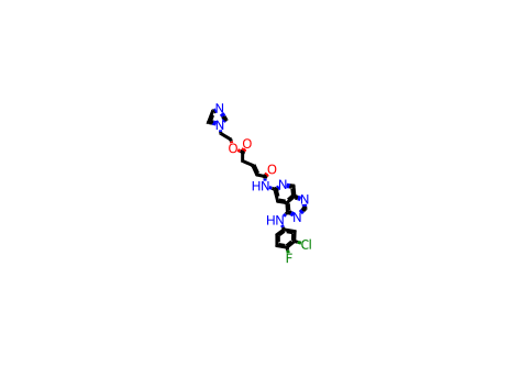 O=C(C=CCC(=O)OCCn1ccnc1)Nc1cc2c(Nc3ccc(F)c(Cl)c3)ncnc2cn1